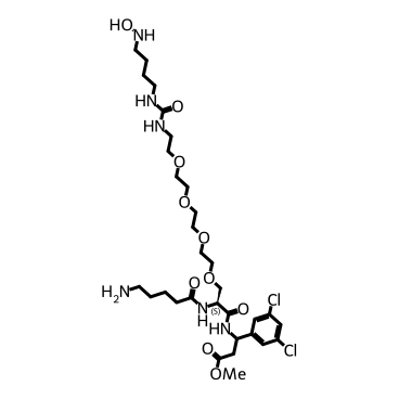 COC(=O)CC(NC(=O)[C@H](COCCOCCOCCOCCNC(=O)NCCCCNO)NC(=O)CCCCN)c1cc(Cl)cc(Cl)c1